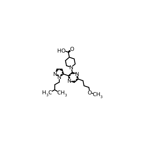 COCCCc1cnc(-c2ccnn2CCC(C)C)c(N2CCC(C(=O)O)CC2)n1